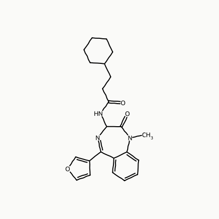 CN1C(=O)C(NC(=O)CCC2CCCCC2)N=C(c2ccoc2)c2ccccc21